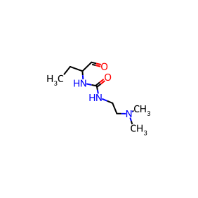 CCC(C=O)NC(=O)NCCN(C)C